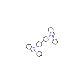 C1=CC2=CN(c3ccccc3)N(c3ccc(-c4ccc(N5C6C=CC=CC6=CN5c5ccccc5)cc4)cc3)C2C=C1